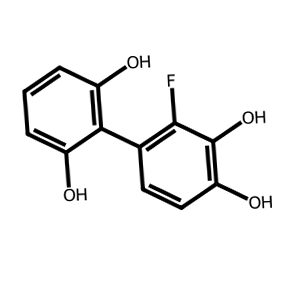 Oc1ccc(-c2c(O)cccc2O)c(F)c1O